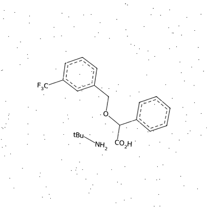 CC(C)(C)N.O=C(O)C(OCc1cccc(C(F)(F)F)c1)c1ccccc1